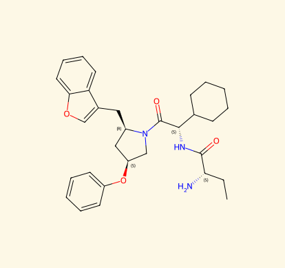 CC[C@H](N)C(=O)N[C@H](C(=O)N1C[C@@H](Oc2ccccc2)C[C@H]1Cc1coc2ccccc12)C1CCCCC1